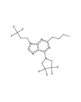 CCCCc1nc(N2CC(F)(F)C(F)(F)C2)c2ncn(CCC(F)(F)F)c2n1